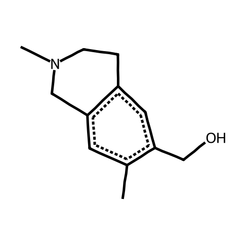 Cc1cc2c(cc1CO)CCN(C)C2